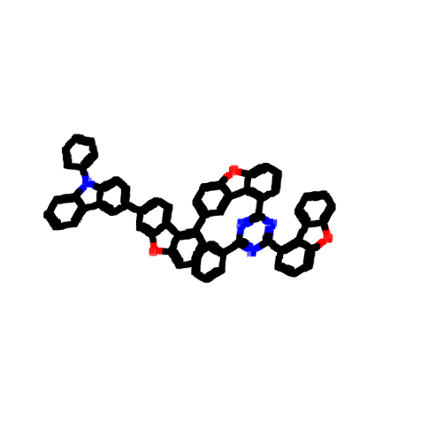 c1ccc(-c2nc(-c3cccc4oc5ccccc5c34)nc(-c3cccc4oc5ccc(-c6cccc7oc8cc(-c9ccc%10c(c9)c9ccccc9n%10-c9ccccc9)ccc8c67)cc5c34)n2)cc1